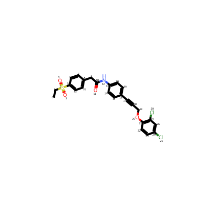 CCS(=O)(=O)c1ccc(CC(=O)Nc2ccc(C#CCOc3ccc(Cl)cc3Cl)cc2)cc1